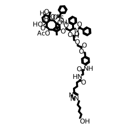 CC(=O)O[C@H]1C(=O)[C@@]2(C)[C@H]([C@H](OC(=O)c3ccccc3)[C@]3(O)C[C@H](OC(=O)[C@H](OC(=O)COCC(=O)OCc4ccc(NC(=O)CNC(=O)CCCc5cn(CCCCCCO)nn5)cc4)C(NC(=O)c4ccccc4)c4ccccc4)C(C)=C1C3(C)C)[C@]1(OC(C)=O)CO[C@@H]1C[C@@H]2O